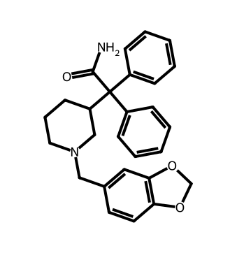 NC(=O)C(c1ccccc1)(c1ccccc1)C1CCCN(Cc2ccc3c(c2)OCO3)C1